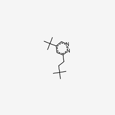 CC(C)(C)CCc1cc(C(C)(C)C)cnn1